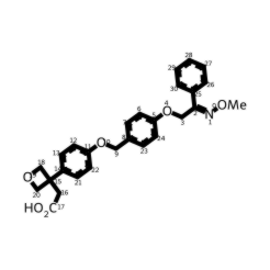 CO/N=C(/COc1ccc(COc2ccc(C3(CC(=O)O)COC3)cc2)cc1)c1ccccc1